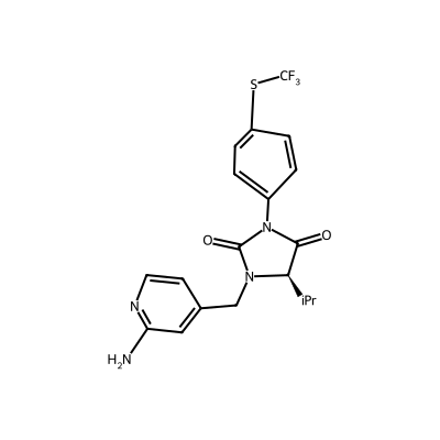 CC(C)[C@@H]1C(=O)N(c2ccc(SC(F)(F)F)cc2)C(=O)N1Cc1ccnc(N)c1